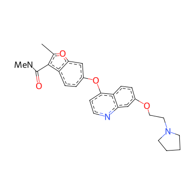 CNC(=O)c1c(C)oc2cc(Oc3ccnc4cc(OCCN5CCCC5)ccc34)ccc12